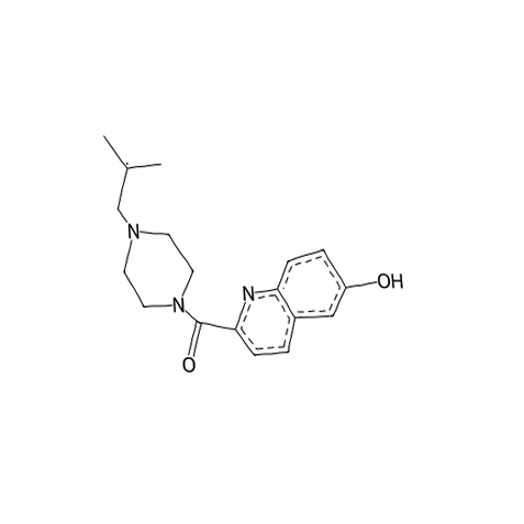 C[C](C)CN1CCN(C(=O)c2ccc3cc(O)ccc3n2)CC1